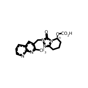 O=C(O)O[C@H]1CCCc2nn(Cc3cc4cccnc4nc3C(F)(F)F)c(=O)n21